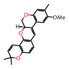 COc1cc2c(cc1C)OC[C@H]1Oc3c(ccc4c3C=CC(C)(C)O4)C=C21